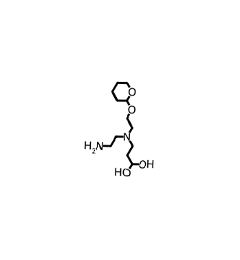 NCCN(CCOC1CCCCO1)CCC(O)O